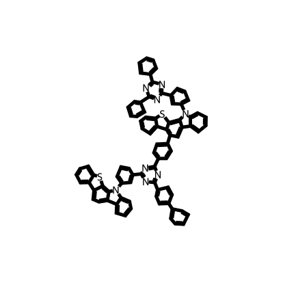 c1ccc(-c2ccc(-c3nc(-c4ccc(-c5cc6c7ccccc7n(-c7cccc(-c8nc(-c9ccccc9)nc(-c9ccccc9)n8)c7)c6c6sc7ccccc7c56)cc4)nc(-c4cccc(-n5c6ccccc6c6ccc7c8ccccc8sc7c65)c4)n3)cc2)cc1